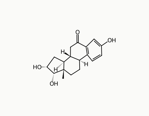 C[C@]12CC[C@@H]3c4ccc(O)cc4C(=O)C[C@H]3[C@@H]1C[C@@H](O)[C@H]2O